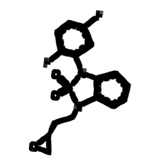 O=S1(=O)N(CC[C@H]2CO2)c2ccccc2N1c1cc(F)ccc1F